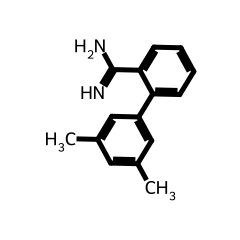 Cc1cc(C)cc(-c2ccccc2C(=N)N)c1